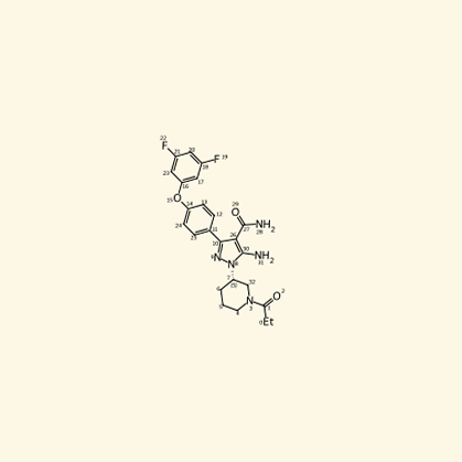 CCC(=O)N1CCC[C@H](n2nc(-c3ccc(Oc4cc(F)cc(F)c4)cc3)c(C(N)=O)c2N)C1